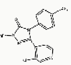 CCCn1nc(-c2ccncc2Cl)n(-c2ccc(C(F)(F)F)cc2)c1=O